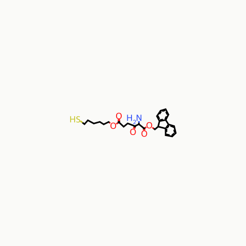 NC(C(=O)CCC(=O)OCCCCCCS)C(=O)OCC1c2ccccc2-c2ccccc21